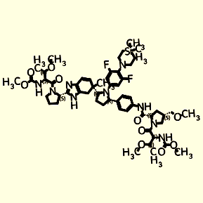 COC[C@H]1C[C@@H](C(=O)Nc2ccc([C@H]3CC[C@H](C4(C)C=Cc5nc([C@@H]6CCCN6C(=O)[C@@H](NC(=O)OC)[C@@H](C)OC)[nH]c5C4)N3c3cc(F)c(N4CC[Si](C)(C)CC4)c(F)c3)cc2)N(C(=O)[C@@H](NC(=O)OC)[C@@H](C)OC)C1